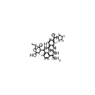 CCOC(=O)C(CC(=O)O)C(Nc1ncnc2cc(C(=O)N3CCCC3)ccc12)c1cccc(C(=N)N)c1